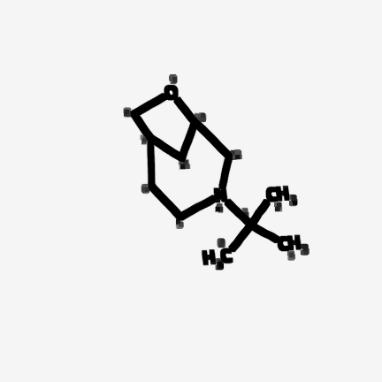 CC(C)(C)N1CCC2COC(C2)C1